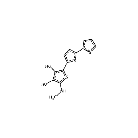 CNc1sc(-c2ccc(-c3cccs3)s2)c(O)c1O